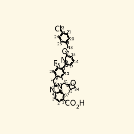 O=C(O)c1ccc2nc(Cc3ccc(-c4cccc(OCc5ccc(Cl)cc5)n4)c(F)c3)n(CC3CCO3)c2c1